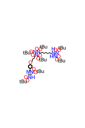 CC(C)(C)OC(=O)/N=C(/N(CCCCCCCN/C(=N\C(=O)OC(C)(C)C)NC(=O)OC(C)(C)C)C(=O)OC(C)(C)C)N(CCCCOc1ccc(C2=NCC(NC(=O)OC(C)(C)C)CN2C(=O)OC(C)(C)C)cc1)C(=O)OC(C)(C)C